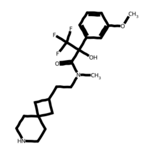 COc1cccc(C(O)(C(=O)N(C)CCC2CC3(CCNCC3)C2)C(F)(F)F)c1